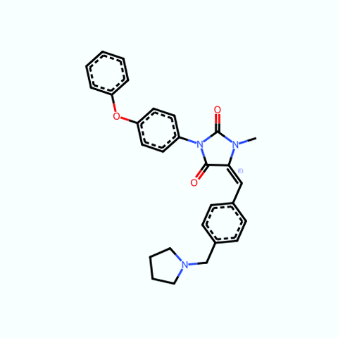 CN1C(=O)N(c2ccc(Oc3ccccc3)cc2)C(=O)/C1=C\c1ccc(CN2CCCC2)cc1